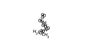 COc1ncc(N2CCOc3cnc(OC4CN(C(=O)C5CCS(=O)(=O)CC5)CC4F)cc32)cc1C